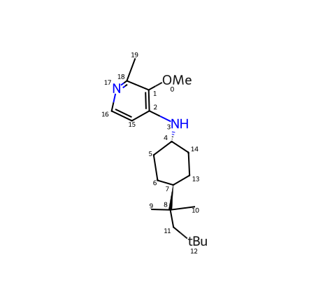 COc1c(N[C@H]2CC[C@H](C(C)(C)CC(C)(C)C)CC2)ccnc1C